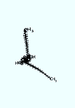 CCCCCCCCCCCCCCCCCCCCCCCCCCc1c(C(=O)O)ccc(O)c1S(=O)(=O)c1c(O)ccc(C(=O)O)c1CCCCCCCCCCCCCCCCCCCCCCCCCC